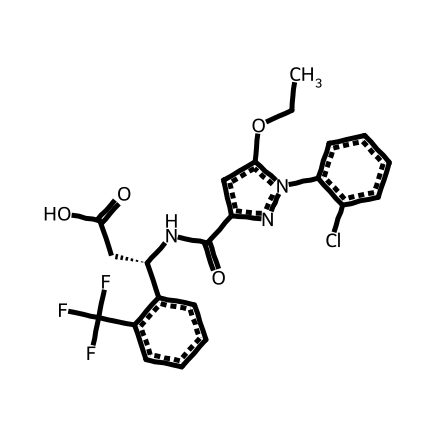 CCOc1cc(C(=O)N[C@@H](CC(=O)O)c2ccccc2C(F)(F)F)nn1-c1ccccc1Cl